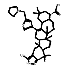 CC1(C)CC2C3=C(c4coc(CN5CCCC5)c4)CC4C5(C)Cc6c(n[nH]c6N)C(C)(C)C5CCC4(C)C3(C)CCC2[C@H](C(=O)O)C1